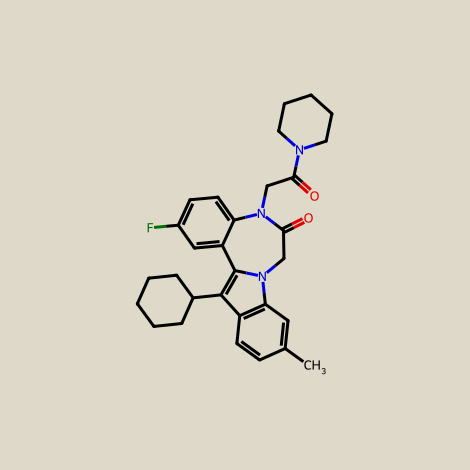 Cc1ccc2c(C3CCCCC3)c3n(c2c1)CC(=O)N(CC(=O)N1CCCCC1)c1ccc(F)cc1-3